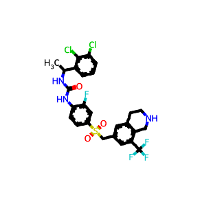 CC(NC(=O)Nc1ccc(S(=O)(=O)Cc2cc3c(c(C(F)(F)F)c2)CNCC3)cc1F)c1cccc(Cl)c1Cl